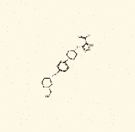 O=C(O)c1[nH]nnc1O[C@H]1CC[C@H](c2ccc(OC[C@H]3CCC[C@H](CO)C3)cc2)CC1